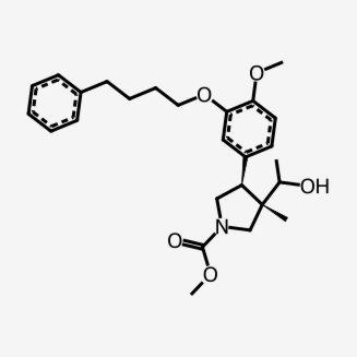 COC(=O)N1C[C@@H](c2ccc(OC)c(OCCCCc3ccccc3)c2)[C@](C)(C(C)O)C1